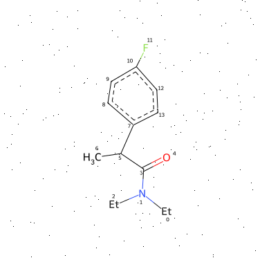 CCN(CC)C(=O)C(C)c1ccc(F)cc1